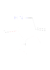 C=CCN.CO[SiH](OC)OC